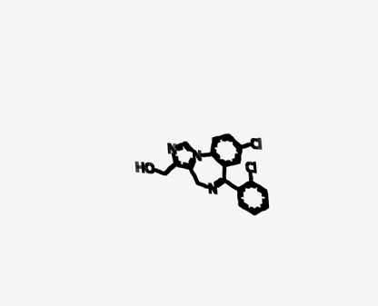 OCc1ncn2c1CN=C(c1ccccc1Cl)c1cc(Cl)ccc1-2